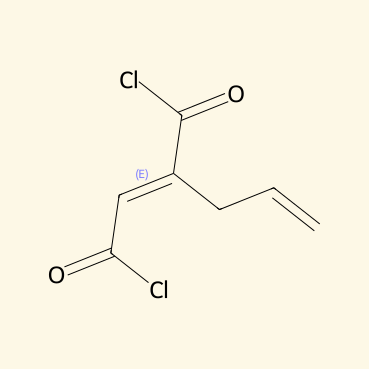 C=CC/C(=C\C(=O)Cl)C(=O)Cl